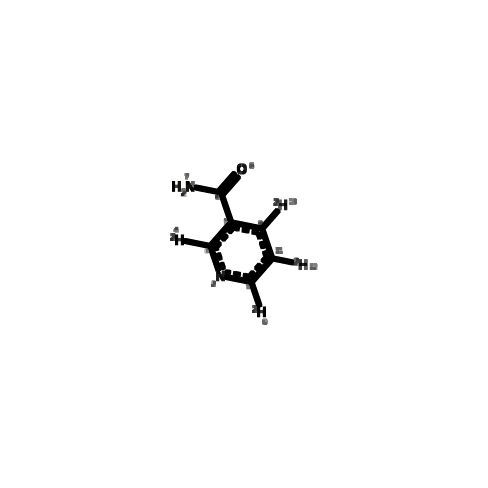 [2H]c1nc([2H])c(C(N)=O)c([2H])c1[2H]